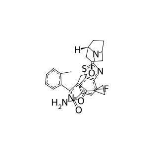 Cc1ccccc1-c1noc(C2CC2)c1CO[C@@H]1CC2CC[C@@H](C1)N2c1nc2c(F)cc(C(N)=O)cc2s1